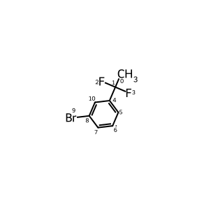 CC(F)(F)c1c[c]cc(Br)c1